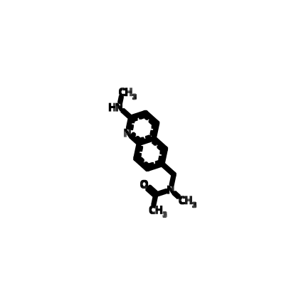 CNc1ccc2cc(CN(C)C(C)=O)ccc2n1